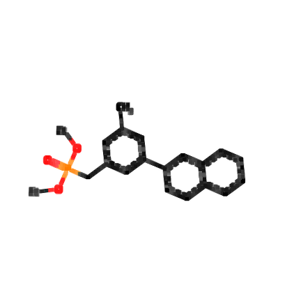 CCOP(=O)(Cc1cc(C)cc(-c2ccc3ccccc3c2)c1)OCC